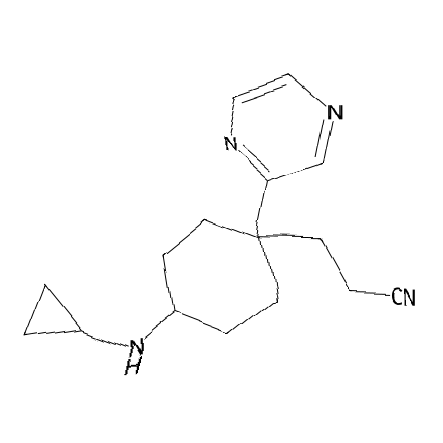 N#CCCC1(c2cnccn2)CCC(NC2CC2)CC1